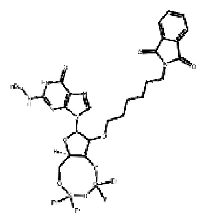 CCCCNc1nc2c(ncn2[C@@H]2O[C@@H]3CO[Si](C(C)C)(C(C)C)O[Si](C(C)C)(C(C)C)OC3C2OCCCCCCN2C(=O)c3ccccc3C2=O)c(=O)[nH]1